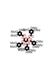 COc1cc(C(=O)OC[C@H]2O[C@@H](OC(=O)c3cc(OC)c(OC)c(OC)c3)[C@H](OC(=O)c3cc(OC)c(OC)c(OC)c3)[C@@H](OC(=O)c3cc(OC)c(OC)c(OC)c3)[C@@H]2OC(=O)c2cc(OC)c(OC)c(OC)c2)cc(OC)c1OC